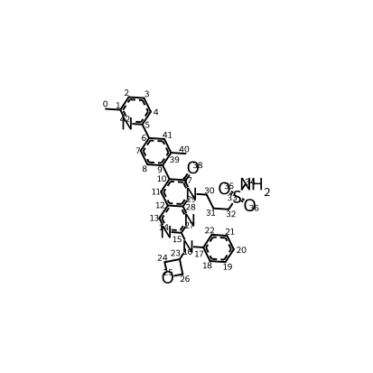 Cc1cccc(-c2ccc(-c3cc4cnc(N(c5ccccc5)C5COC5)nc4n(CCCS(N)(=O)=O)c3=O)c(C)c2)n1